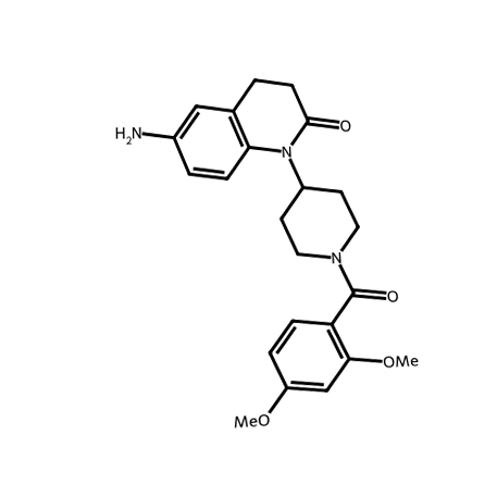 COc1ccc(C(=O)N2CCC(N3C(=O)CCc4cc(N)ccc43)CC2)c(OC)c1